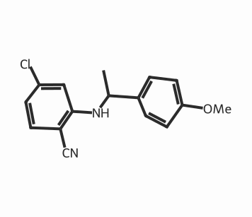 COc1ccc(C(C)Nc2cc(Cl)ccc2C#N)cc1